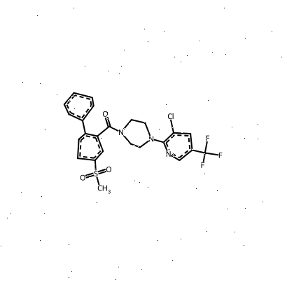 CS(=O)(=O)c1ccc(-c2ccccc2)c(C(=O)N2CCN(c3ncc(C(F)(F)F)cc3Cl)CC2)c1